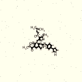 CN(C)CC[S+]([O-])c1c(Cn2c(=O)c(C(=O)N(C)C)cc3cnc(Nc4ccc(C5CCNC5)cc4)nc32)nnn1C